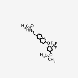 CC(=O)NCCc1ccc2nc(Oc3ccc(OC(C)C)cc3C(F)(F)F)ccc2c1